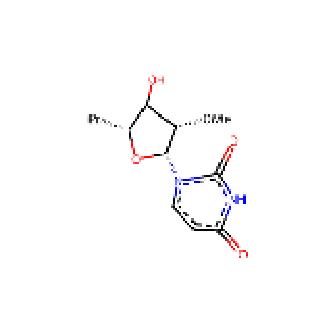 CO[C@H]1C(O)[C@@H](C(C)C)O[C@H]1n1ccc(=O)[nH]c1=O